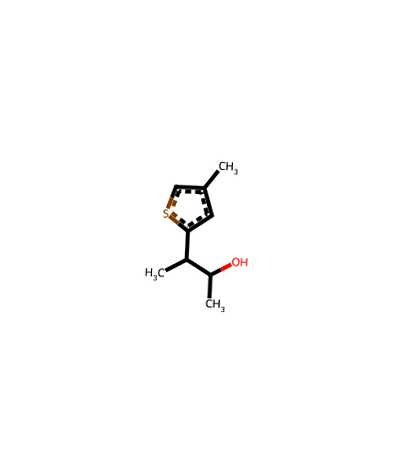 Cc1csc(C(C)C(C)O)c1